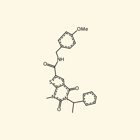 COc1ccc(CNC(=O)c2cc3c(=O)n(C(C)c4ccccc4)c(=O)n(C)c3s2)cc1